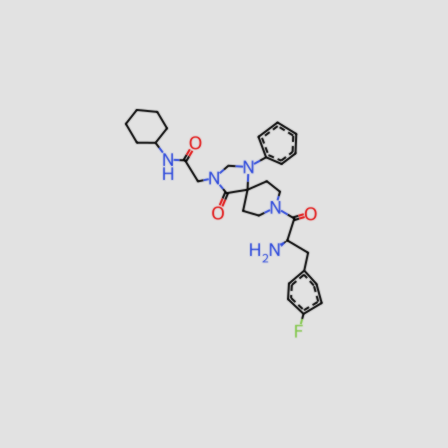 N[C@H](Cc1ccc(F)cc1)C(=O)N1CCC2(CC1)C(=O)N(CC(=O)NC1CCCCC1)CN2c1ccccc1